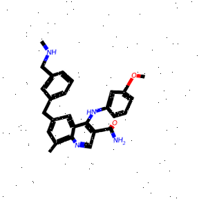 CNCc1cccc(Cc2cc(C)c3ncc(C(N)=O)c(Nc4cccc(OC)c4)c3c2)c1